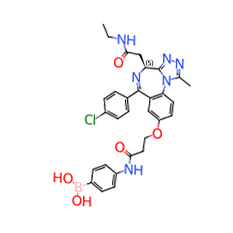 CCNC(=O)C[C@@H]1N=C(c2ccc(Cl)cc2)c2cc(OCCC(=O)Nc3ccc(B(O)O)cc3)ccc2-n2c(C)nnc21